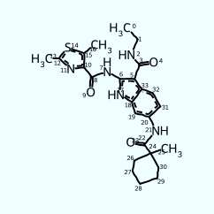 CCNC(=O)c1c(NC(=O)c2nc(C)sc2C)[nH]c2cc(NC(=O)C3(C)CCCCC3)ccc12